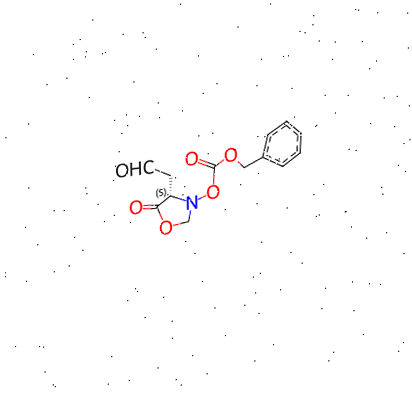 O=CC[C@H]1C(=O)OCN1OC(=O)OCc1ccccc1